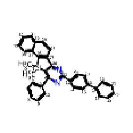 C[Si]1(C)c2c(-c3ccccc3)nc(-c3ccc(-c4ccccc4)cc3)nc2-c2ccc3ccccc3c21